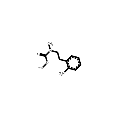 CN(CCc1ccccc1[N+](=O)[O-])C(=O)OC(C)(C)C